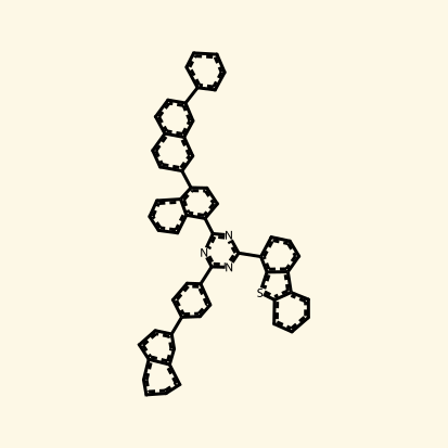 c1ccc(-c2ccc3ccc(-c4ccc(-c5nc(-c6ccc(-c7ccc8ccccc8c7)cc6)nc(-c6cccc7c6sc6ccccc67)n5)c5ccccc45)cc3c2)cc1